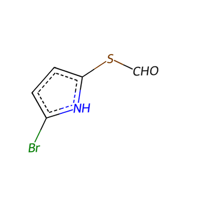 O=CSc1ccc(Br)[nH]1